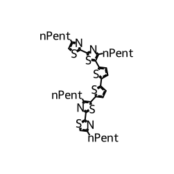 CCCCCc1csc(-c2nc(CCCCC)c(-c3ccc(-c4ccc(-c5sc(-c6nc(CCCCC)cs6)nc5CCCCC)s4)s3)s2)n1